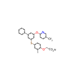 Cc1cc(Sc2cc(Oc3ccc(C(F)(F)F)cn3)cc(-c3ccccc3)c2)ccc1OCC(=O)O